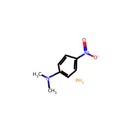 CN(C)c1ccc([N+](=O)[O-])cc1.P